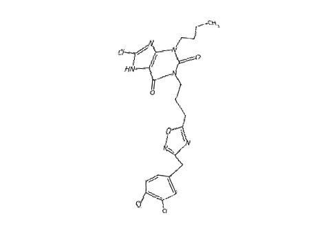 CCCCn1c(=O)n(CCCc2nc(Cc3ccc(Cl)c(Cl)c3)no2)c(=O)c2[nH]c(Cl)nc21